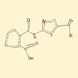 O=C(O)c1cnc(NC(=O)c2ccccc2C(=O)O)s1